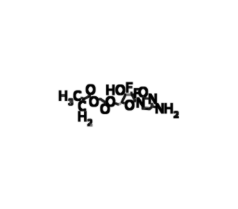 C=C(C)C(=O)OCC(=O)OC[C@H]1O[C@@H](n2ccc(N)nc2=O)C(F)(F)C1O